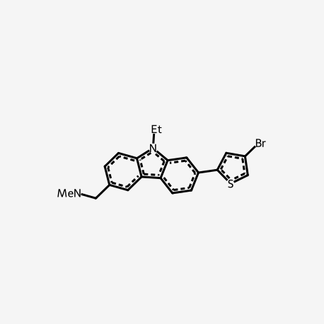 CCn1c2ccc(CNC)cc2c2ccc(-c3cc(Br)cs3)cc21